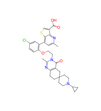 Cc1cc(-c2cc(Cl)ccc2OCCn2c(C)nc3c(c2=O)CC2(CC3)CCN(C3CC3)CC2)c2scc(C(=O)O)c2n1